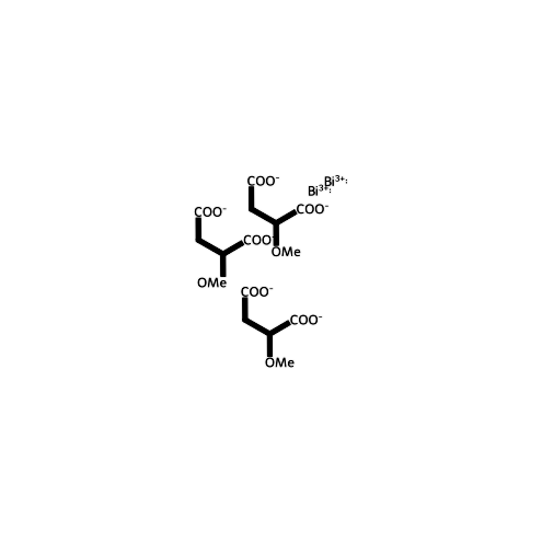 COC(CC(=O)[O-])C(=O)[O-].COC(CC(=O)[O-])C(=O)[O-].COC(CC(=O)[O-])C(=O)[O-].[Bi+3].[Bi+3]